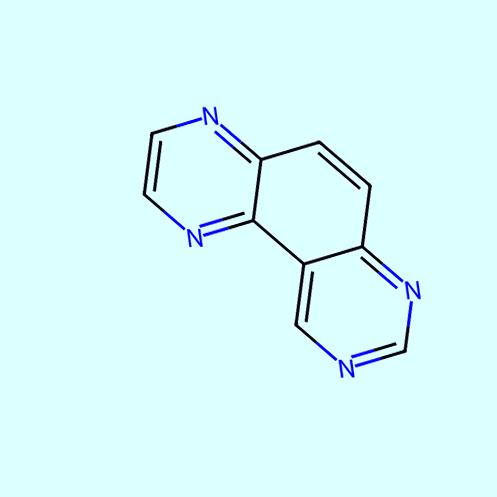 c1ncc2c(ccc3nccnc32)n1